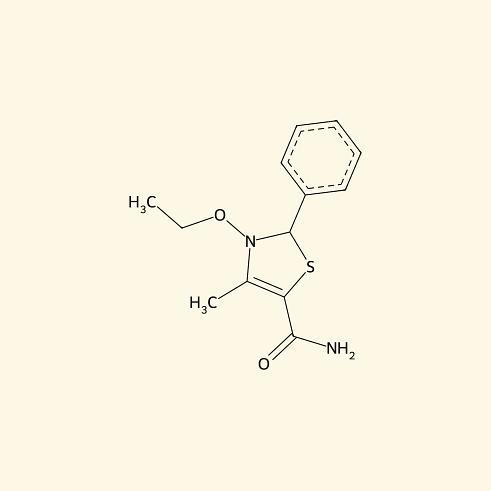 CCON1C(C)=C(C(N)=O)SC1c1ccccc1